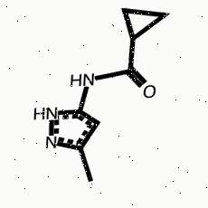 Cc1cc(NC(=O)C2CC2)[nH]n1